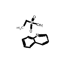 CCS(=O)(=O)O.c1ccc2ncccc2c1